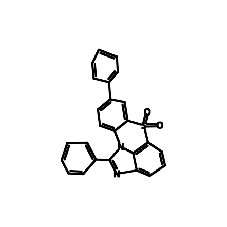 O=S1(=O)c2cc(-c3ccccc3)ccc2-n2c(-c3ccccc3)nc3cccc1c32